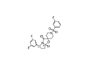 O=C1N2[C@@H](CC[C@H]2c2cc(F)cc(F)c2)OC12CCN(S(=O)(=O)c1cccc(F)c1)CC2